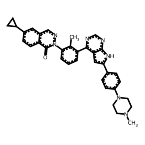 Cc1c(-c2ncnc3[nH]c(-c4ccc(N5CCN(C)CC5)cc4)cc23)cccc1-n1ncc2cc(C3CC3)ccc2c1=O